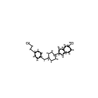 ClCCc1ccc(CN2CCN(c3nc4ccc(Cl)cc4s3)CC2)cc1